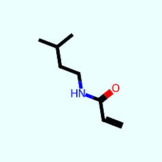 C=CC(=O)NCCC(C)C